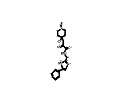 CC(C)N1CCC(O)(CC(=N)C(=O)NCc2ncc(-c3ccccc3)[nH]2)CC1